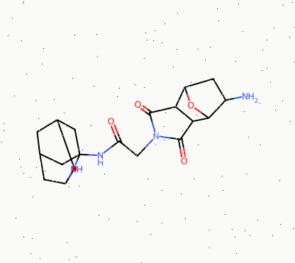 NC1CC2OC1C1C(=O)N(CC(=O)NC34CC5CC(CC(C5)N3)C4)C(=O)C21